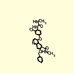 CNC(=O)Nc1ccc(Oc2ccnc3cc(OCc4ccccc4)c(C(=O)NC)cc23)cc1Cl